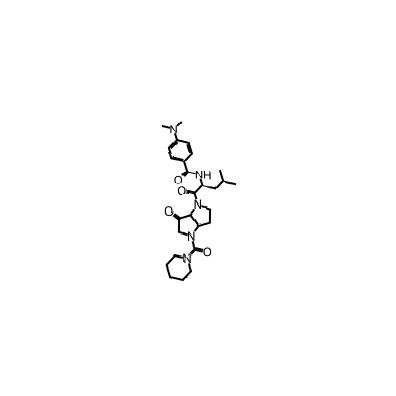 CC(C)C[C@H](NC(=O)c1ccc(N(C)C)cc1)C(=O)N1CCC2C1C(=O)CN2C(=O)N1CCCCC1